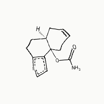 NC(=O)OC12CC=CC[C@@H]1CCc1sccc12